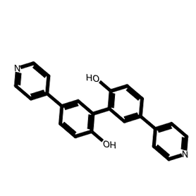 Oc1ccc(-c2ccncc2)cc1-c1cc(-c2ccncc2)ccc1O